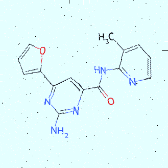 Cc1cccnc1NC(=O)c1cc(-c2ccco2)nc(N)n1